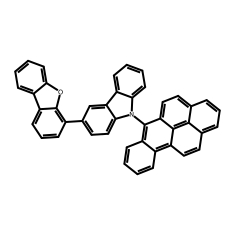 c1cc2ccc3c(-n4c5ccccc5c5cc(-c6cccc7c6oc6ccccc67)ccc54)c4ccccc4c4ccc(c1)c2c34